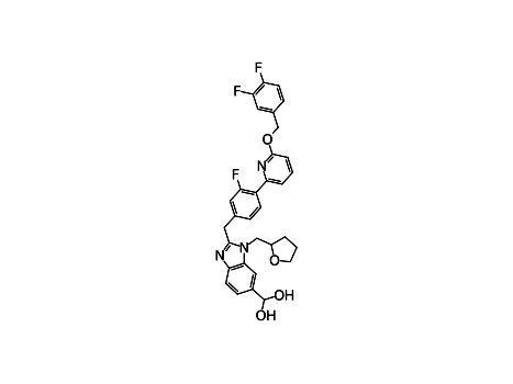 OC(O)c1ccc2nc(Cc3ccc(-c4cccc(OCc5ccc(F)c(F)c5)n4)c(F)c3)n(CC3CCCO3)c2c1